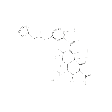 CN(C)[C@@H]1C(O)C(C(N)=O)C(=O)[C@@]2(O)C(O)=C3C(=O)c4c(O)ccc(CNCc5ccc[nH]5)c4C[C@H]3C[C@@H]12